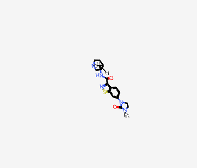 CCN1CCN(c2ccc3c(C(=O)N[C@@H]4CN5CCC4CC5)nsc3c2)C1=O